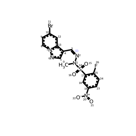 CN(/N=C\c1cnn2ccc(Br)cc12)S(=O)(=O)c1cc([N+](=O)[O-])ccc1F